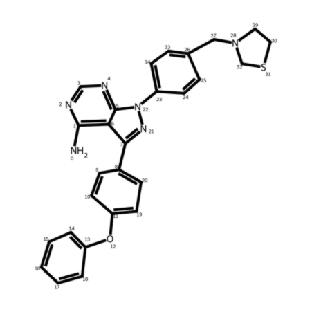 Nc1ncnc2c1c(-c1ccc(Oc3ccccc3)cc1)nn2-c1ccc(CN2CCSC2)cc1